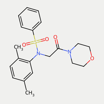 Cc1ccc(C)c(N(CC(=O)N2CCOCC2)S(=O)(=O)c2ccccc2)c1